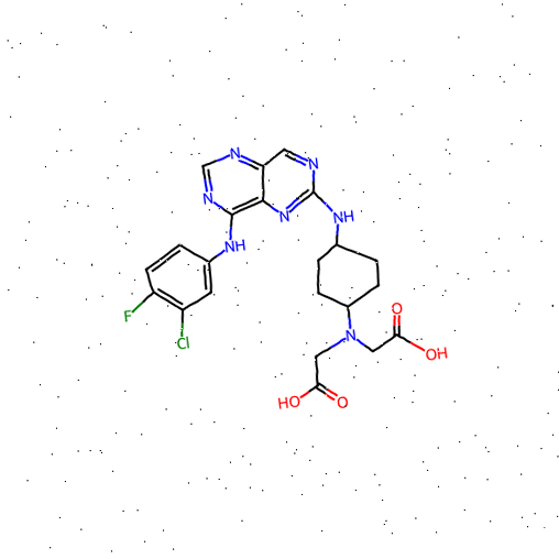 O=C(O)CN(CC(=O)O)C1CCC(Nc2ncc3ncnc(Nc4ccc(F)c(Cl)c4)c3n2)CC1